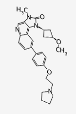 CO[C@H]1C[C@@H](n2c(=O)n(C)c3cnc4ccc(-c5ccc(OCCN6CCCC6)cc5)cc4c32)C1